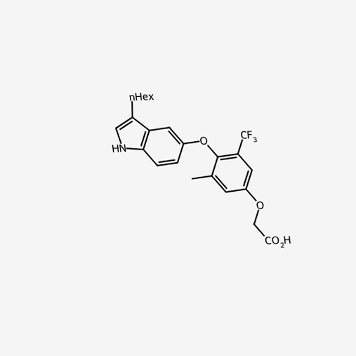 CCCCCCc1c[nH]c2ccc(Oc3c(C)cc(OCC(=O)O)cc3C(F)(F)F)cc12